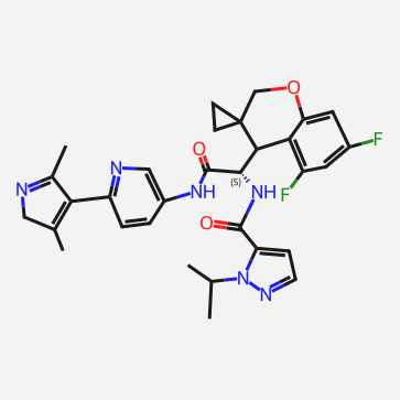 CC1=NCC(C)=C1c1ccc(NC(=O)[C@@H](NC(=O)c2ccnn2C(C)C)C2c3c(F)cc(F)cc3OCC23CC3)cn1